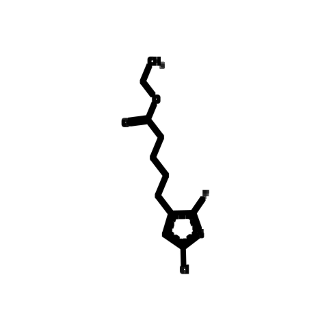 CCOC(=O)CCCCc1cc(Cl)sc1F